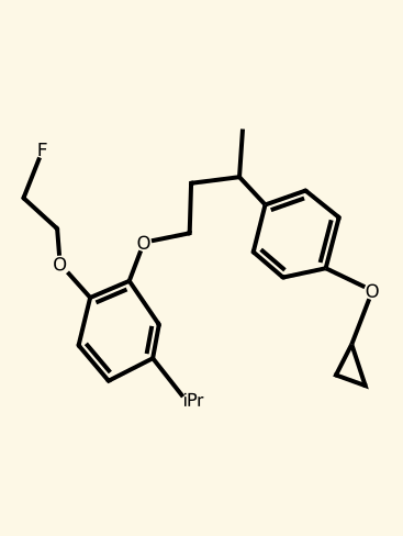 CC(C)c1ccc(OCCF)c(OCCC(C)c2ccc(OC3CC3)cc2)c1